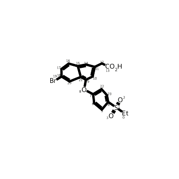 CCS(=O)(=O)c1ccc(Oc2cc(CC(=O)O)cc3ccc(Br)cc23)cc1